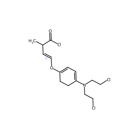 CC(/C=C/OC1=CC=C(N(CCCl)CCCl)CC1)C(=O)Cl